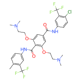 Cc1ccc(NC(=O)c2c(OCCN(C)C)cc(C(=O)Nc3ccc(Cl)c(C(F)(F)F)c3)cc2OCCN(C)C)cc1C(F)(F)F